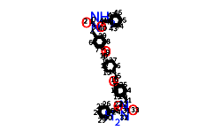 NC(=O)N(Cc1ccc(OC[C@H]2CC[C@H](COc3ccc(CN(OCc4ccccc4)C(N)=O)cc3)CC2)cc1)OCc1ccccc1